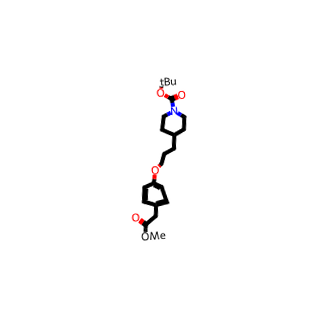 COC(=O)Cc1ccc(OCCCC2CCN(C(=O)OC(C)(C)C)CC2)cc1